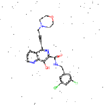 O=C(NCc1cc(Cl)cc(Cl)c1)c1nc(C#CCN2CCOCC2)c2cccnc2c1O